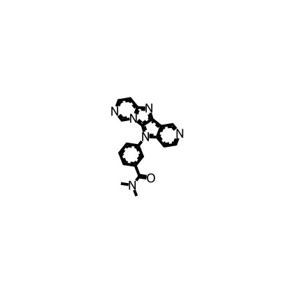 CN(C)C(=O)c1cccc(-n2c3ccncc3c3nc4ccncn4c32)c1